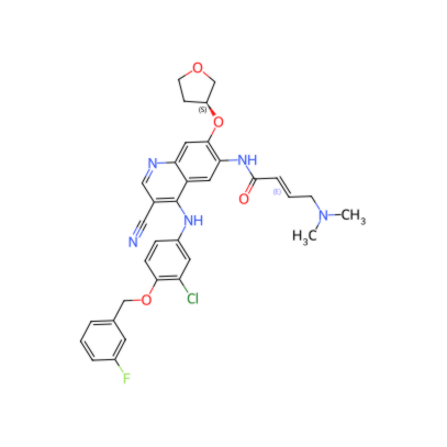 CN(C)C/C=C/C(=O)Nc1cc2c(Nc3ccc(OCc4cccc(F)c4)c(Cl)c3)c(C#N)cnc2cc1O[C@H]1CCOC1